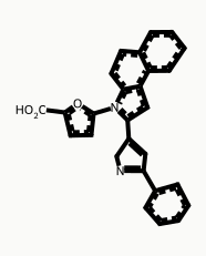 O=C(O)c1ccc(-n2c(C3=CC(c4ccccc4)=NC3)cc3c4ccccc4ccc32)o1